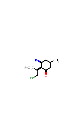 CCOC(=O)C(CBr)=C1C(=N)CC(C)CC1=O